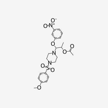 COc1ccc(S(=O)(=O)N2CCN(C(Oc3cccc([N+](=O)[O-])c3)C(C)OC(C)=O)CC2)cc1